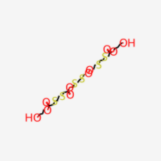 O=C(CSCCSCCOOCSCCSCOC(=O)CSCCSCC(=O)OCCCO)OCCCO